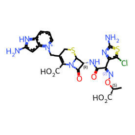 C[C@H](O/N=C(\C(=O)N[C@@H]1C(=O)N2C(C(=O)O)=C(C[n+]3cccc4[nH]c(N)cc43)CSC12)c1nc(N)sc1Cl)C(=O)O